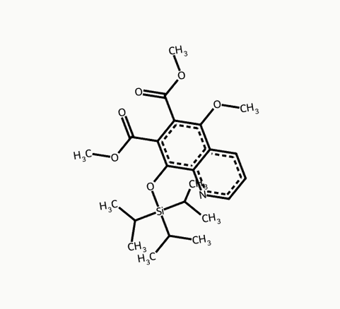 COC(=O)c1c(C(=O)OC)c(O[Si](C(C)C)(C(C)C)C(C)C)c2ncccc2c1OC